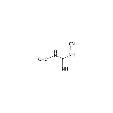 N#CNC(=N)NC=O